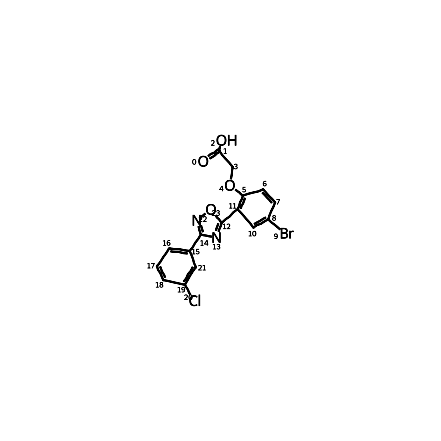 O=C(O)COc1ccc(Br)cc1-c1nc(-c2cccc(Cl)c2)no1